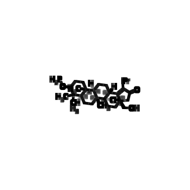 CC(C)C1=C2[C@H]3CC[C@@H]4[C@@]5(C)CC[C@H](OP)C(C)(C)[C@@H]5CC[C@@]4(C)[C@]3(C)CC[C@@]2(CO)CC1=O